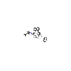 CN(c1nc(OCC23CCCN2C[C@H](F)C3)nc2c(F)c(-c3cccc4cccc(Cl)c34)ncc12)[C@@H]1CCN(C(=O)/C=C/c2nc(C3COC3)no2)C1